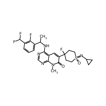 CC(Nc1ncnc2c1cc(C1(F)CCS(=O)(=NC3CC3)CC1)c(=O)n2C)c1cccc(C(F)F)c1F